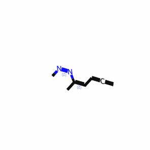 C=C=C/C=C(C)\N=N/C